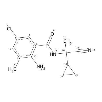 Cc1cc(Cl)cc(C(=O)NC(C)(C#N)C2CC2)c1N